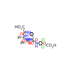 CC(C)C[C@H](NC(=O)[C@@H](NC(=O)[C@@H](N)CCC(=O)O)C(C)C)C(=O)N[C@@H](Cc1ccccc1)[C@@H](O)C(=O)Nc1cc(Cl)c(OCC(=O)O)c(Cl)c1